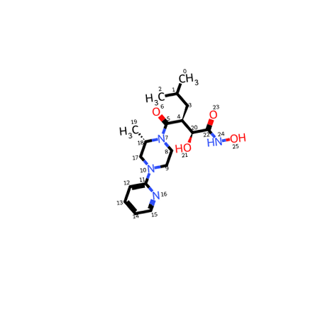 CC(C)C[C@H](C(=O)N1CCN(c2ccccn2)C[C@@H]1C)[C@H](O)C(=O)NO